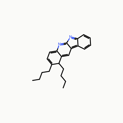 CCCC[C]1C(CCCC)=CC=c2nc3c(cc21)=c1ccccc1=N3